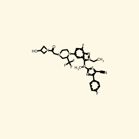 CCn1nc2c(F)cc(N3CCN(CC(=O)N4CC(O)C4)CC3C(F)(F)F)cc2c1N(C)c1nc(-c2ccc(F)cc2)c(C#N)s1